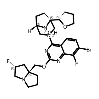 O=C(O)N1[C@H]2CC[C@]1([C@@H]1CCCO1)CN(c1nc(OC[C@@]34CCCN3C[C@H](F)C4)nc3c(F)c(Br)ccc13)C2